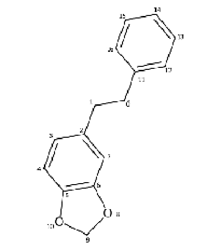 [CH](Cc1ccc2c(c1)OCO2)c1ccccc1